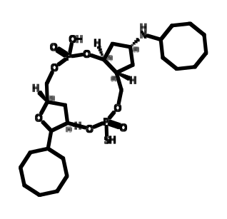 O=P1(O)OC[C@@H]2C[C@@H](OP(=O)(S)OC[C@H]3C[C@@H](NC4CCCCCCC4)C[C@@H]3O1)C(C1CCCCCCC1)O2